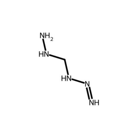 N=NNCNN